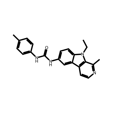 CCn1c2ccc(NC(=O)Nc3ccc(C)cc3)cc2c2ccnc(C)c21